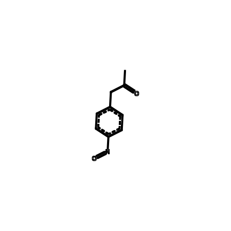 CC(=O)Cc1ccc(N=O)cc1